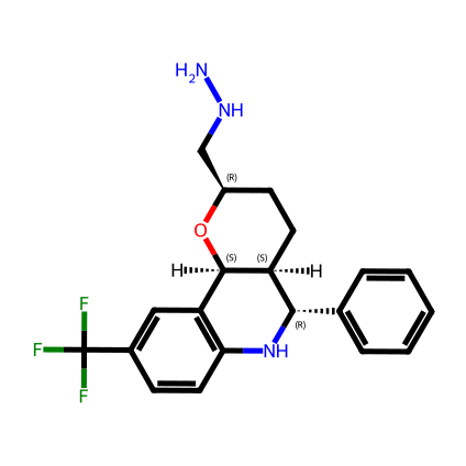 NNC[C@H]1CC[C@@H]2[C@H](O1)c1cc(C(F)(F)F)ccc1N[C@H]2c1ccccc1